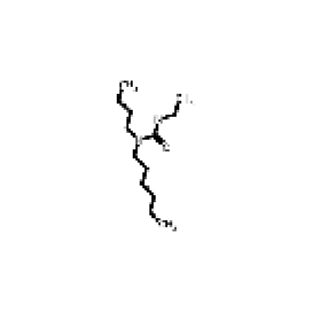 CCCCCCN(CCCC)C(=O)NCC